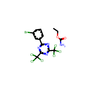 CCOC(N)=O.ClC(Cl)(Cl)c1nc(-c2cccc(Br)c2)nc(C(Cl)(Cl)Cl)n1